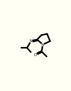 CC(=O)N1CCC/C1=N/C(C)C